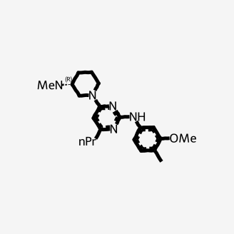 CCCc1cc(N2CCC[C@@H](NC)C2)nc(Nc2ccc(C)c(OC)c2)n1